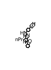 CCCc1nn(-c2ccccc2C)c(=O)c2cnc(Nc3ccc(N4CCN(C)CC4)cc3)nc12